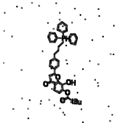 CC(C)(C)C(=O)Oc1ccc2c(=O)cc(-c3ccc(CCCC[PH](c4ccccc4)(c4ccccc4)c4ccccc4)cc3)oc2c1O